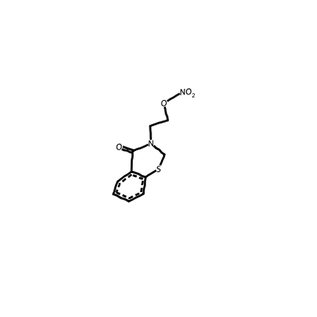 O=C1c2ccccc2SCN1CCO[N+](=O)[O-]